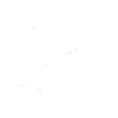 CNC(=O)Cc1nc2cnc3[nH]ccc3c2n1C1CCC(CC#N)CC1.O=C(O)C(F)(F)F